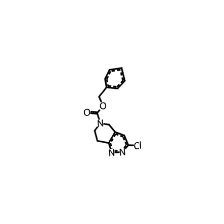 O=C(OCc1ccccc1)N1CCc2nnc(Cl)cc2C1